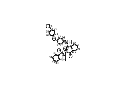 O=C(NOC(=O)c1ccccc1C(=O)Nc1ccc(Oc2ccc(Cl)cc2)cc1)c1ccccc1